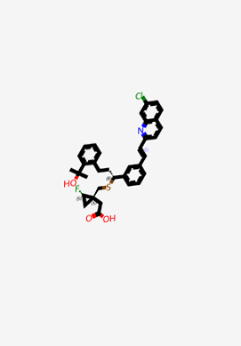 CC(C)(O)c1ccccc1CC[C@@H](SC[C@@]1(CC(=O)O)C[C@@H]1F)c1cccc(/C=C/c2ccc3ccc(Cl)cc3n2)c1